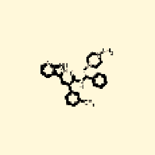 CN1CCN(C[C@@H](NC(=O)C(=Cc2n[nH]c3ncccc23)c2cccc(C(F)(F)F)c2)c2ccccc2)CC1